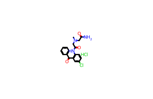 CN(CC(N)=O)CC(=O)Nc1ccc(Cl)cc1C(=O)c1ccccc1.Cl